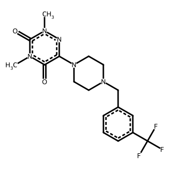 Cn1nc(N2CCN(Cc3cccc(C(F)(F)F)c3)CC2)c(=O)n(C)c1=O